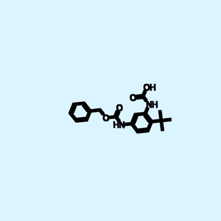 CC(C)(C)c1ccc(NC(=O)OCc2ccccc2)cc1NC(=O)O